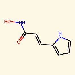 O=C(C=Cc1ccc[nH]1)NO